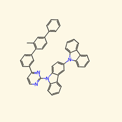 Cc1cc(-c2ccccc2)ccc1-c1cccc(-c2ccnc(-n3c4ccccc4c4cc(-n5c6ccccc6c6ccccc65)ccc43)n2)c1